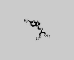 CCOCC(COCC)OCn1cnc2nc(N)ncc21